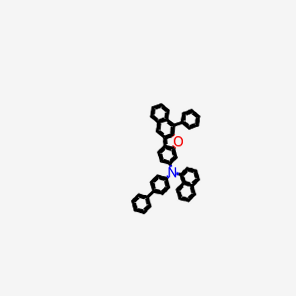 c1ccc(-c2ccc(N(c3ccc4c(c3)oc3c(-c5ccccc5)c5ccccc5cc34)c3cccc4ccccc34)cc2)cc1